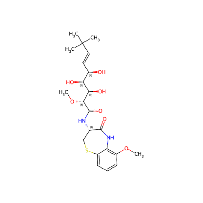 COc1cccc2c1NC(=O)[C@@H](NC(=O)[C@H](OC)[C@H](O)[C@@H](O)[C@H](O)C=CC(C)(C)C)CS2